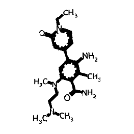 CCn1ccc(-c2cc(N(C)CCN(C)C)c(C(N)=O)c(C)c2N)cc1=O